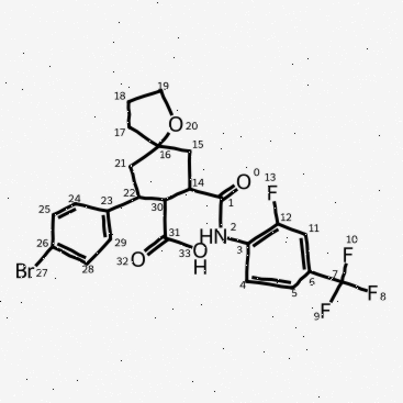 O=C(Nc1ccc(C(F)(F)F)cc1F)C1CC2(CCCO2)CC(c2ccc(Br)cc2)C1C(=O)O